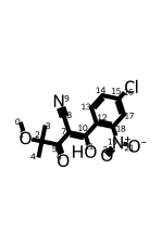 COC(C)(C)C(=O)/C(C#N)=C(\O)c1ccc(Cl)cc1[N+](=O)[O-]